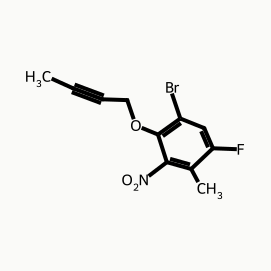 CC#CCOc1c(Br)cc(F)c(C)c1[N+](=O)[O-]